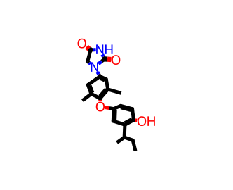 CCC(C)c1cc(Oc2c(C)cc(N3CC(=O)NC3=O)cc2C)ccc1O